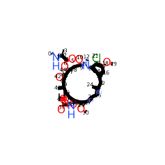 CN[C@@H](C)C(=O)O[C@H]1CC(=O)N(C)c2cc(cc(OC)c2Cl)C/C(C)=C/C=C/[C@@H](OC)[C@@]2(O)C[C@H](OC(=O)N2)C(C)C2O[C@]21C